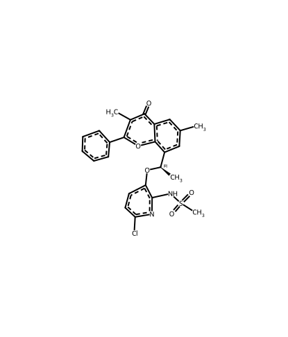 Cc1cc([C@@H](C)Oc2ccc(Cl)nc2NS(C)(=O)=O)c2oc(-c3ccccc3)c(C)c(=O)c2c1